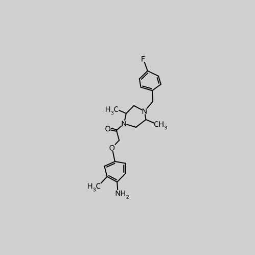 Cc1cc(OCC(=O)N2CC(C)N(Cc3ccc(F)cc3)CC2C)ccc1N